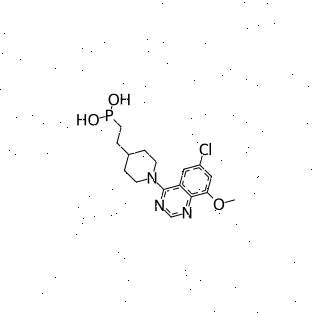 COc1cc(Cl)cc2c(N3CCC(CCP(O)O)CC3)ncnc12